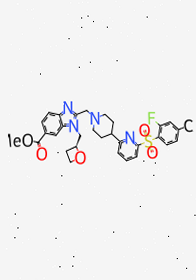 COC(=O)c1ccc2nc(CN3CCC(c4cccc(S(=O)(=O)c5ccc(C#N)cc5F)n4)CC3)n(C[C@@H]3CCO3)c2c1